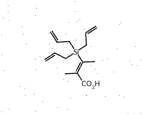 C=CC[Si](CC=C)(CC=C)/C(C)=C(\C)C(=O)O